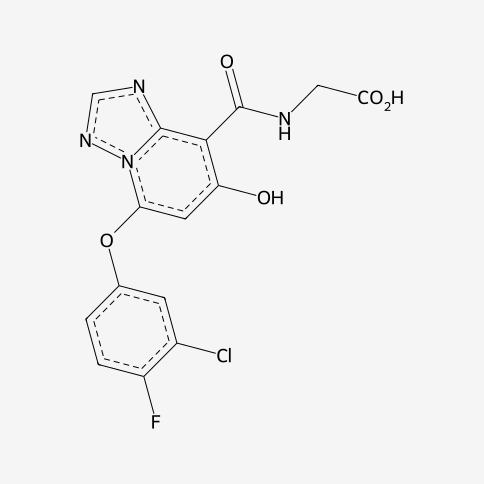 O=C(O)CNC(=O)c1c(O)cc(Oc2ccc(F)c(Cl)c2)n2ncnc12